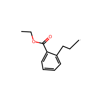 [CH2]CCc1ccccc1C(=O)OCC